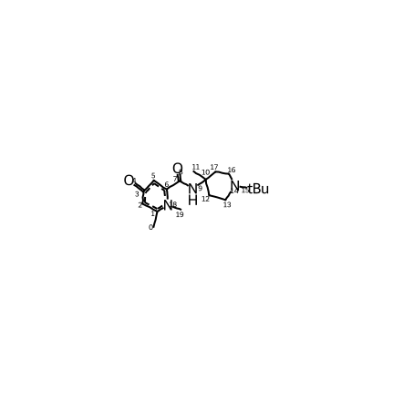 Cc1cc(=O)cc(C(=O)NC2(C)CCN(C(C)(C)C)CC2)n1C